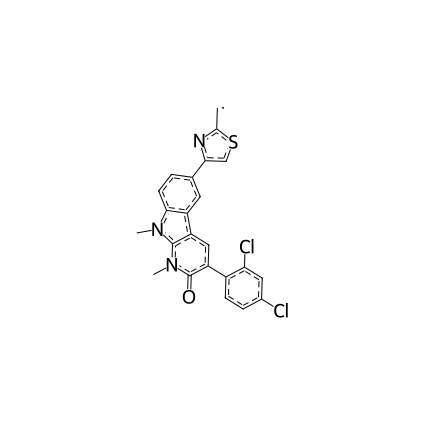 [CH2]c1nc(-c2ccc3c(c2)c2cc(-c4ccc(Cl)cc4Cl)c(=O)n(C)c2n3C)cs1